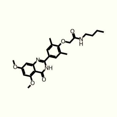 CCCCNC(=O)COc1c(C)cc(-c2nc3cc(OC)cc(OC)c3c(=O)[nH]2)cc1C